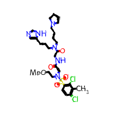 COCCN(CC(=O)NCC(=O)N(CCCCN1CCCC1)CCCc1cnc[nH]1)S(=O)(=O)c1ccc(Cl)c(C)c1Cl